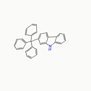 c1ccc(C(c2ccccc2)(c2ccccc2)c2ccc3c(c2)[nH]c2ccccc23)cc1